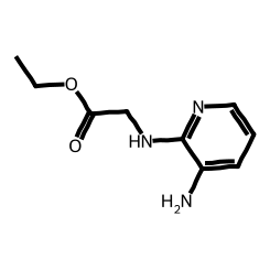 CCOC(=O)CNc1ncccc1N